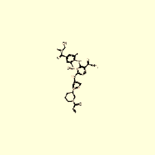 C=CC(=O)N1CCCC(n2cc(Nc3ncc(C(N)=O)c(Nc4c(C)cc(C(=O)N(C)CC#N)cc4OC)n3)cn2)C1